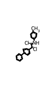 Cc1ccc(N[C@H](Cl)[C@H](Cl)c2ccc(-c3ccccc3)cc2)cc1